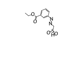 CCOC(=O)c1cccc(N=NC[SH](=O)=O)c1